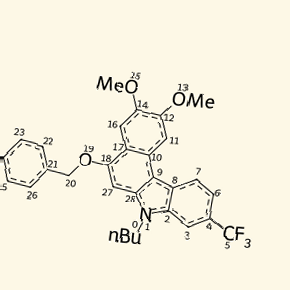 CCCCn1c2cc(C(F)(F)F)ccc2c2c3cc(OC)c(OC)cc3c(OCc3ccccc3)cc21